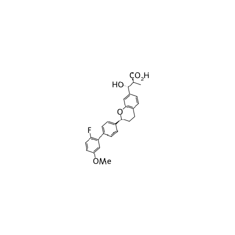 COc1ccc(F)c(-c2ccc([C@@H]3CCc4ccc([C@H](O)[C@H](C)C(=O)O)cc4O3)cc2)c1